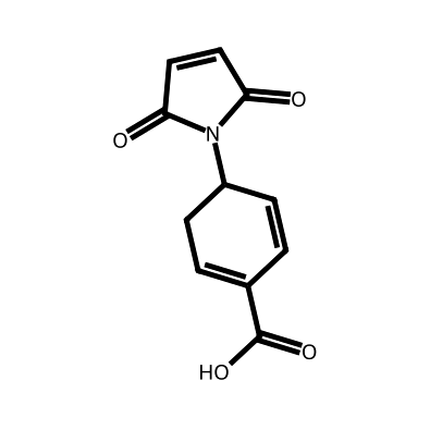 O=C(O)C1=CCC(N2C(=O)C=CC2=O)C=C1